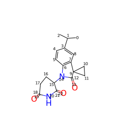 CC(C)c1ccc2c(c1)C1(CC1)C(=O)N2C1CCC(=O)NC1=O